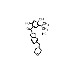 CC(C)c1cc(C(=O)N2Cc3ccc(CN4CCOCC4)cc3C2)c(O)cc1O.Cl